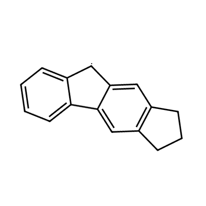 [CH]1c2ccccc2-c2cc3c(cc21)CCC3